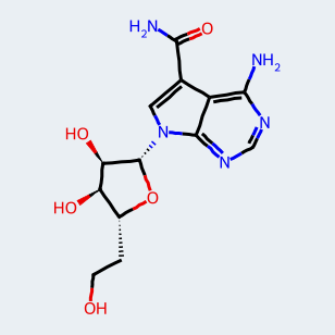 NC(=O)c1cn([C@@H]2O[C@H](CCO)[C@@H](O)[C@H]2O)c2ncnc(N)c12